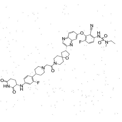 CCN(C)S(=O)(=O)Nc1ccc(F)c(Oc2ccc3ncc([C@@H]4COC5(CCN(C(=O)CN6CCC(c7ccc(NC8CCC(=O)NC8=O)cc7F)CC6)CC5)C4)nc3c2)c1C#N